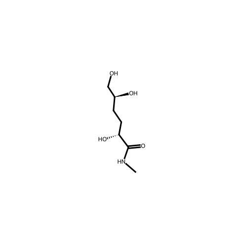 CNC(=O)[C@H](O)CC[C@H](O)CO